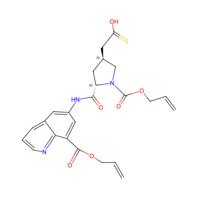 C=CCOC(=O)c1cc(NC(=O)[C@@H]2C[C@@H](CC(O)=S)CN2C(=O)OCC=C)cc2cccnc12